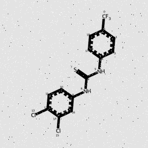 FC(F)(F)c1ccc(NC(=S)Nc2ccc(Cl)c(Cl)c2)cc1